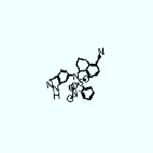 N#Cc1cccc2c1CCCC2N(c1ccc2cn[nH]c2c1)S(=O)(=O)c1ccccc1[N+](=O)[O-]